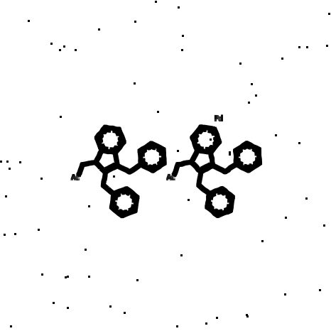 CC(=O)CC1C(Cc2ccccc2)=C(Cc2ccccc2)c2ccccc21.CC(=O)CC1C(Cc2ccccc2)=C(Cc2ccccc2)c2ccccc21.[Pd]